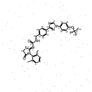 Cc1cccc(C)c1N1C(=O)CS/C1=N\C(=O)NCc1ccc(-c2ncn(-c3ccc(OC(F)(F)F)cc3)n2)cc1